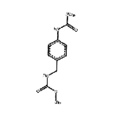 CNC(=O)Nc1ccc(CNC(=O)OC(C)(C)C)cc1